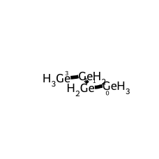 [GeH3][GeH2][GeH2][GeH3]